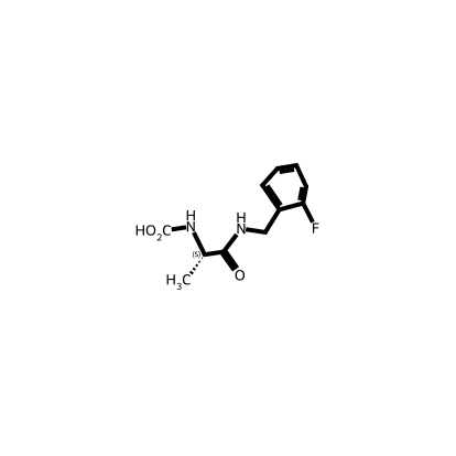 C[C@H](NC(=O)O)C(=O)NCc1ccccc1F